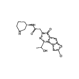 CC(O)c1nn(CC(=O)N[C@@H]2CCCNC2)c(=O)c2cc3sc(Cl)cc3n12